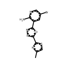 Cc1csc(-c2nnc(-c3cc(Br)cnc3N)o2)n1